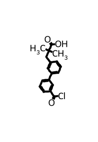 CC(C)(Cc1cccc(-c2cccc(C(=O)Cl)c2)c1)C(=O)O